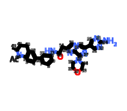 CC(=O)N1c2ccc(-c3cccc(NC(=O)Cc4cn5cc(-c6cnc(N)nc6)nc(N6CCOCC6)c5n4)c3)cc2CC[C@@H]1C